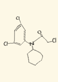 O=C(CCl)N(c1cc(Cl)cc(Cl)c1)C1CCCCC1